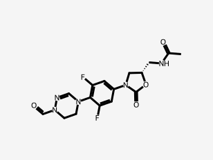 CC(=O)NC[C@H]1CN(c2cc(F)c(N3C=NN(C=O)CC3)c(F)c2)C(=O)O1